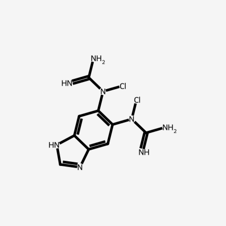 N=C(N)N(Cl)c1cc2nc[nH]c2cc1N(Cl)C(=N)N